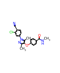 CNC(=O)c1ccc(Oc2c(C)nn(-c3ccc(C#N)c(Cl)c3)c2C)cc1